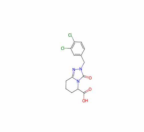 O=C(O)C1CCCc2nn(Cc3ccc(Cl)c(Cl)c3)c(=O)n21